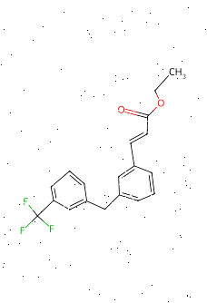 CCOC(=O)/C=C/c1cccc(Cc2cccc(C(F)(F)F)c2)c1